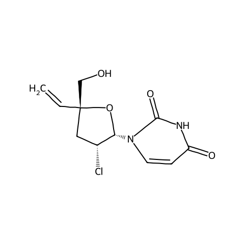 C=C[C@@]1(CO)C[C@@H](Cl)[C@@H](n2ccc(=O)[nH]c2=O)O1